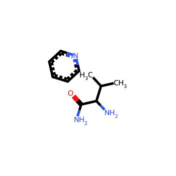 CC(C)C(N)C(N)=O.c1ccncc1